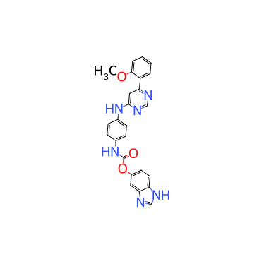 COc1ccccc1-c1cc(Nc2ccc(NC(=O)Oc3ccc4[nH]cnc4c3)cc2)ncn1